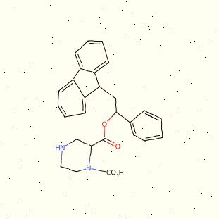 O=C(OC(CC1c2ccccc2-c2ccccc21)c1ccccc1)C1CNCCN1C(=O)O